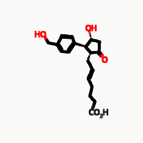 O=C(O)CCCC=CC[C@H]1C(=O)C[C@@H](O)[C@@H]1c1ccc(CO)cc1